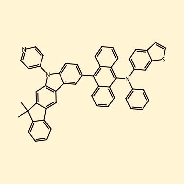 CC1(C)c2ccccc2-c2cc3c4cc(-c5c6ccccc6c(N(c6ccccc6)c6ccc7ccsc7c6)c6ccccc56)ccc4n(-c4ccncc4)c3cc21